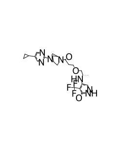 C[C@@H](COCCC(=O)N1CC2CC1CN2c1ncc(C2CC2)cn1)Nc1cn[nH]c(=O)c1C(F)(F)F